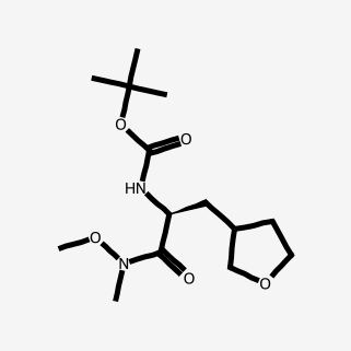 CON(C)C(=O)[C@H](CC1CCOC1)NC(=O)OC(C)(C)C